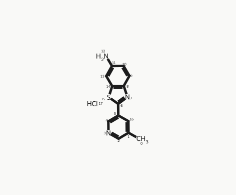 Cc1cncc(-c2nc3ccc(N)cc3s2)c1.Cl